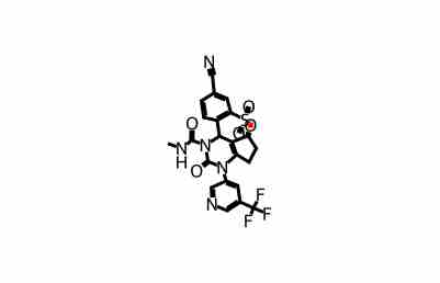 CNC(=O)N1C(=O)N(c2cncc(C(F)(F)F)c2)C2=C(C(=O)CC2)C1c1ccc(C#N)cc1S(C)(=O)=O